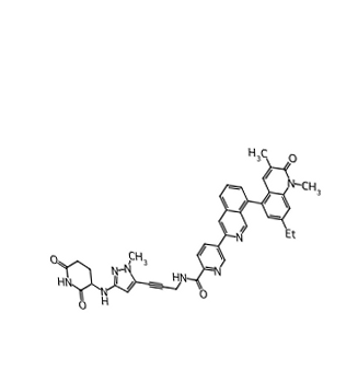 CCc1cc(-c2cccc3cc(-c4ccc(C(=O)NCC#Cc5cc(NC6CCC(=O)NC6=O)nn5C)nc4)ncc23)c2cc(C)c(=O)n(C)c2c1